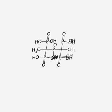 CC(P(=O)(O)O)(P(=O)(O)O)P(=O)(O)C(C)(P(=O)(O)O)P(=O)(O)O